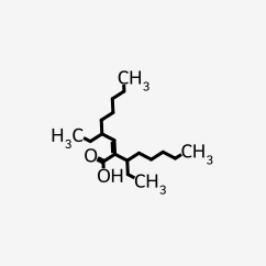 CCCCCC(C=C(C(=O)O)C(CC)CCCCC)CC